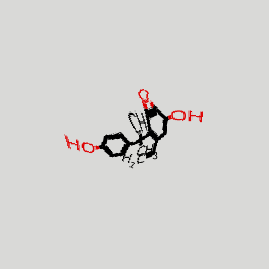 C=Cc1cc(O)c2c(c1C(C)(C)c1ccc(O)cc1)O2